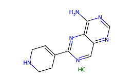 Cl.Nc1ncnc2cnc(C3=CCNCC3)nc12